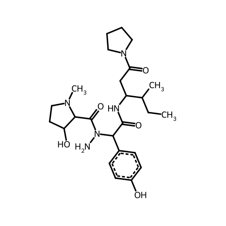 CCC(C)C(CC(=O)N1CCCC1)NC(=O)C(c1ccc(O)cc1)N(N)C(=O)C1C(O)CCN1C